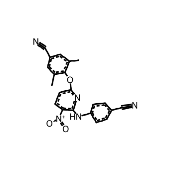 Cc1cc(C#N)cc(C)c1Oc1ccc([N+](=O)[O-])c(Nc2ccc(C#N)cc2)n1